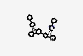 C=C(/C=C\C(=C/C)c1ccccc1)n1c2cc(-c3ccc4c(c3)c3ccccc3n4-c3ccc(-c4ccccc4)cc3)ccc2c2ncccc21